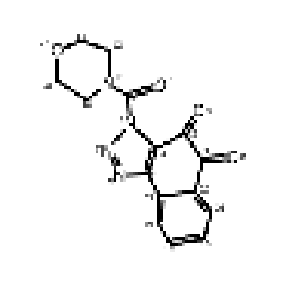 O=C1C(=O)c2c(nnn2C(=O)N2CCOCC2)-c2ccccc21